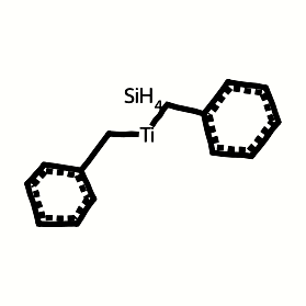 [SiH4].c1ccc([CH2][Ti][CH2]c2ccccc2)cc1